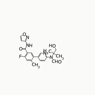 Cc1cc(F)c(C(=O)Nc2ccon2)cc1-c1ccc(N(C=O)C(C)(C)CO)nc1